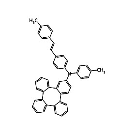 Cc1ccc(C=Cc2ccc(N(c3ccc(C)cc3)c3ccc4c(c3)-c3ccccc3-c3ccccc3-c3ccccc3-4)cc2)cc1